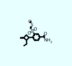 C=C1CC(c2ccc(C(N)=O)cc2S(=O)(=O)C=S=O)C1CC